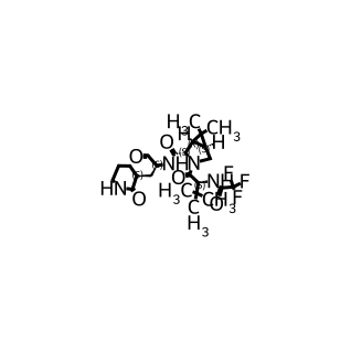 CC(C)(C)[C@H](NC(=O)C(F)(F)F)C(=O)N1C[C@H]2[C@@H]([C@H]1C(=O)N[C@H](C=O)C[C@@H]1CCCNC1=O)C2(C)C